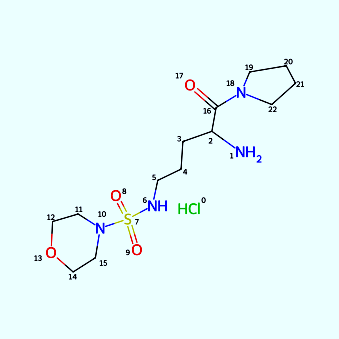 Cl.NC(CCCNS(=O)(=O)N1CCOCC1)C(=O)N1CCCC1